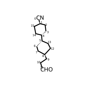 N#C[C@H]1CC[C@H]([C@H]2CC[C@H](CCC=O)CC2)CC1